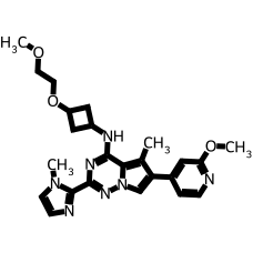 COCCOC1CC(Nc2nc(-c3nccn3C)nn3cc(-c4ccnc(OC)c4)c(C)c23)C1